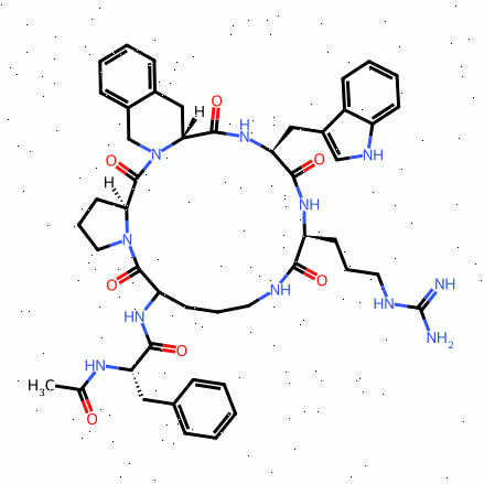 CC(=O)N[C@@H](Cc1ccccc1)C(=O)NC1CCCNC(=O)[C@H](CCCNC(=N)N)NC(=O)[C@H](Cc2c[nH]c3ccccc23)NC(=O)[C@H]2Cc3ccccc3CN2C(=O)[C@@H]2CCCN2C1=O